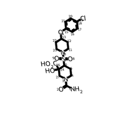 NC(=O)N1CCC(S(=O)(=O)N2CCC(Oc3ccc(Cl)cc3)CC2)C(O)(C(=O)O)C1